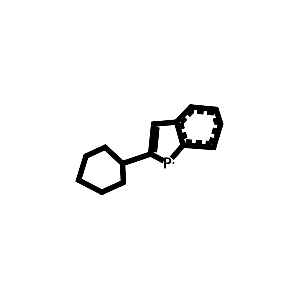 C1=C(C2CCCCC2)[P]c2ccccc21